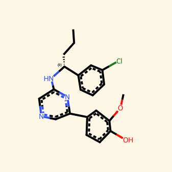 CCC[C@@H](Nc1cncc(-c2ccc(O)c(OC)c2)n1)c1cccc(Cl)c1